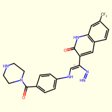 N=N/C(=C\Nc1ccc(C(=O)N2CCNCC2)cc1)c1cc2ccc(C(F)(F)F)cc2[nH]c1=O